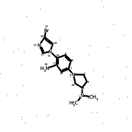 CN(C)[C@@H]1CCN(c2ccc(-n3cnc(Br)c3)c(N)c2)C1